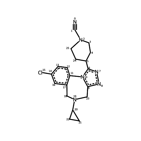 N#CN1CCC(c2nnc3n2-c2ccc(Cl)cc2CN(C2CC2)C3)CC1